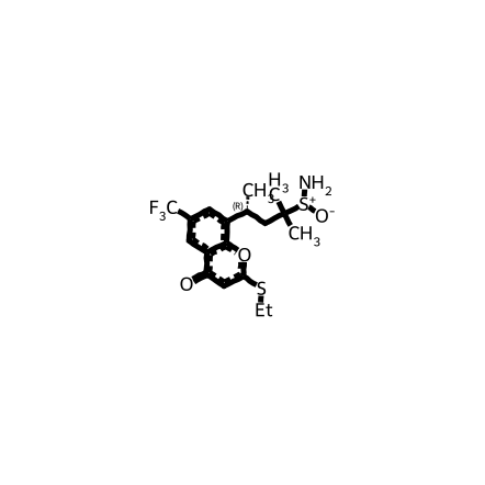 CCSc1cc(=O)c2cc(C(F)(F)F)cc([C@H](C)CC(C)(C)[S+](N)[O-])c2o1